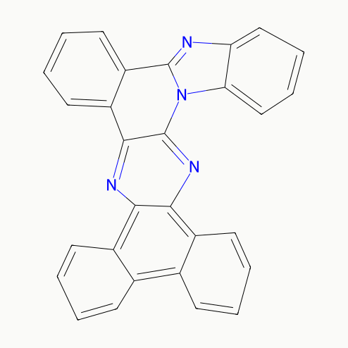 c1ccc2c(c1)nc1c3ccccc3c3nc4c5ccccc5c5ccccc5c4nc3n21